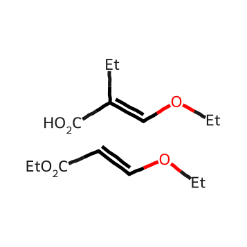 CCO/C=C(\CC)C(=O)O.CCO/C=C/C(=O)OCC